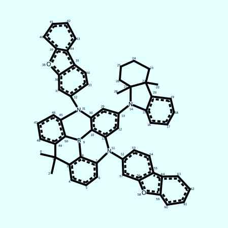 CC1(C)c2cccc3c2B2c4c(cc(N5c6ccccc6C6(C)CCCCC56C)cc4N(c4ccc5c(c4)oc4ccccc45)c4cccc1c42)N3c1ccc2c(c1)oc1ccccc12